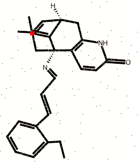 C/C=C1\[C@H]2C=C(C)C[C@]1(N=CC=Cc1ccccc1CC)c1ccc(=O)[nH]c1C2